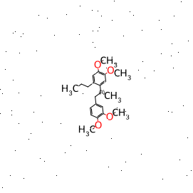 CCCc1cc(OC)c(OC)cc1[C@H](C)Cc1ccc(OC)c(OC)c1